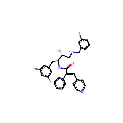 O=C(N[C@@H](Cc1cc(F)cc(F)c1)[C@H](O)CNCc1cccc(I)c1)C(=Cc1ccncc1)c1ccccc1